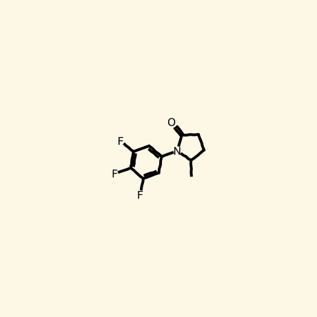 CC1CCC(=O)N1c1cc(F)c(F)c(F)c1